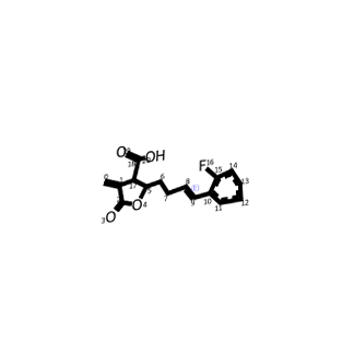 C=C1C(=O)OC(CC/C=C/c2ccccc2F)C1C(=O)O